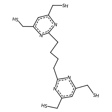 SCc1cc(CS)nc(CCCCc2nc(CS)cc(CS)n2)n1